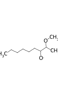 CCCCCCC([O])C(C)OC